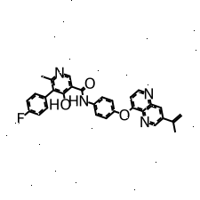 C=C(C)c1cnc2c(Oc3ccc(NC(=O)c4cnc(C)c(-c5ccc(F)cc5)c4O)cc3)ccnc2c1